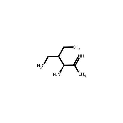 CCC(CC)[C@H](N)C(C)=N